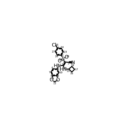 N#CC(=C(Nc1ccc2c(c1)OCO2)NC1CCC1)S(=O)(=O)c1ccc(Cl)cc1